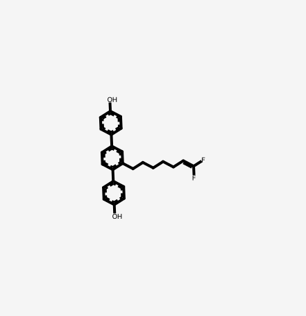 Oc1ccc(-c2ccc(-c3ccc(O)cc3)c(CCCCCC=C(F)F)c2)cc1